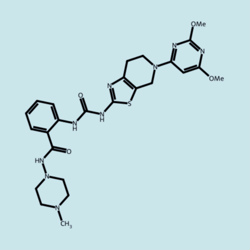 COc1cc(N2CCc3nc(NC(=O)Nc4ccccc4C(=O)NN4CCN(C)CC4)sc3C2)nc(OC)n1